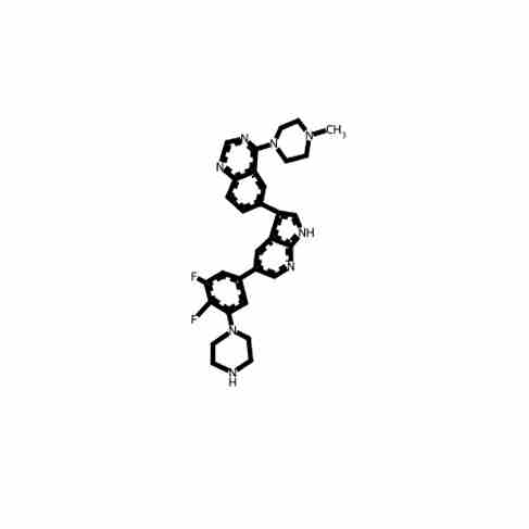 CN1CCN(c2ncnc3ccc(-c4c[nH]c5ncc(-c6cc(F)c(F)c(N7CCNCC7)c6)cc45)cc23)CC1